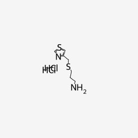 Cl.Cl.NCCCSCc1cscn1